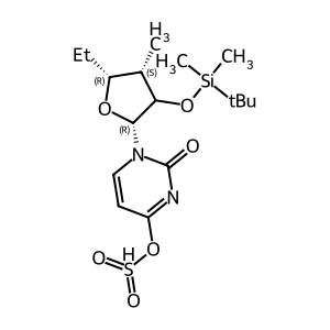 CC[C@H]1O[C@@H](n2ccc(O[SH](=O)=O)nc2=O)C(O[Si](C)(C)C(C)(C)C)[C@H]1C